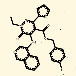 CCn1nc(-c2cccs2)c(C(=O)OCc2ccc(F)cc2)c(Nc2cncc3ccccc23)c1=O